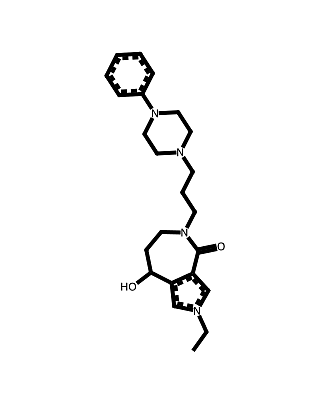 CCn1cc2c(c1)C(O)CCN(CCCN1CCN(c3ccccc3)CC1)C2=O